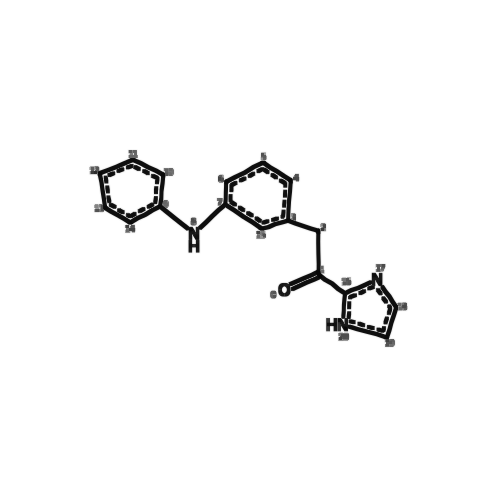 O=C(Cc1cccc(Nc2ccccc2)c1)c1ncc[nH]1